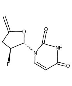 C=C1C[C@H](F)[C@@H](n2ccc(=O)[nH]c2=O)O1